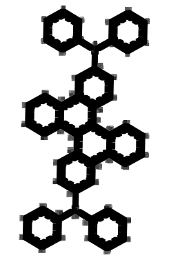 c1ccc(N(c2ccccc2)c2ccc3c(c2)c2ccccc2c2c4ccc(N(c5ccccc5)c5ccccc5)cc4c4ccccc4c32)cc1